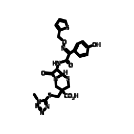 Cn1nnnc1SCC1(C(=O)O)CS[C@@H]2C(NC(=O)C(=NOCc3cccs3)c3ccc(O)cc3)C(=O)N2C1